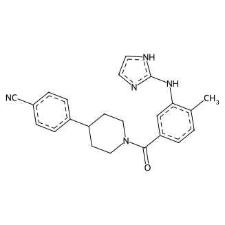 Cc1ccc(C(=O)N2CCC(c3ccc(C#N)cc3)CC2)cc1Nc1ncc[nH]1